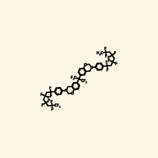 CC(F)(F)CC(F)(F)CC(F)(F)CC(F)(F)c1ccc(N2COc3ccc(C(c4ccc5c(c4)CN(c4ccc(C(F)(F)CC(F)(F)CC(F)(F)CC(F)(F)C(F)(F)F)cc4)CO5)(C(F)(F)F)C(F)(F)F)cc3C2)cc1